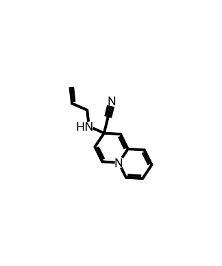 C=CCNC1(C#N)C=CN2C=CC=CC2=C1